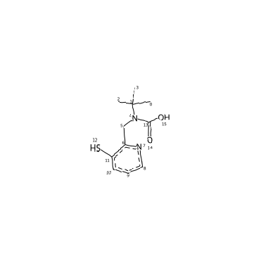 CC(C)(C)N(Cc1ncccc1S)C(=O)O